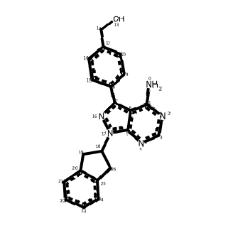 Nc1ncnc2c1c(-c1ccc(CO)cc1)nn2C1Cc2ccccc2C1